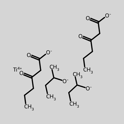 CCC(C)[O-].CCC(C)[O-].CCCC(=O)CC(=O)[O-].CCCC(=O)CC(=O)[O-].[Ti+4]